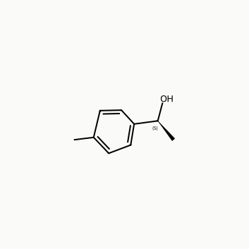 Cc1ccc([C@H](C)O)cc1